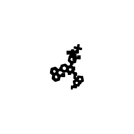 CC(C)(C)OC(=O)N1C2CN(c3nc(OCC45CCCN4C[C@H](F)C5)nc4c3CCN(c3cccc5cccc(Cl)c35)C4)C[C@H]1C[C@H]2O